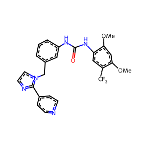 COc1cc(OC)c(C(F)(F)F)cc1NC(=O)Nc1cccc(Cn2ccnc2-c2ccncc2)c1